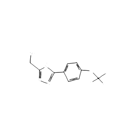 NCc1nnc(-c2ccc(OC(F)(F)F)cc2)[nH]1